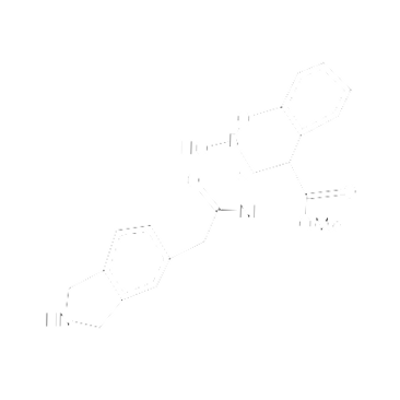 COC(=O)C1c2ccccc2OB(O)[C@H]1NC(=O)Cc1ccc2c(c1)CNC2